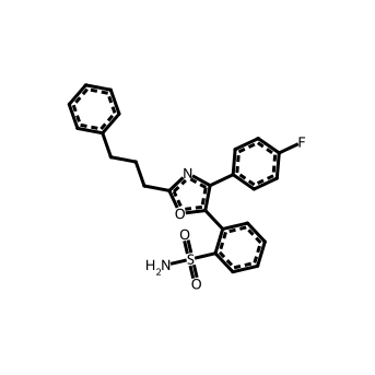 NS(=O)(=O)c1ccccc1-c1oc(CCCc2ccccc2)nc1-c1ccc(F)cc1